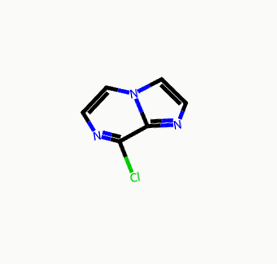 Clc1nccn2ccnc12